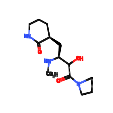 O=C(O)N[C@@H](C[C@@H]1CCCNC1=O)C(O)C(=O)N1CCC1